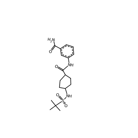 CC(C)(C)S(=O)(=O)NC1CCC(C(=O)Nc2cccc(C(N)=O)c2)CC1